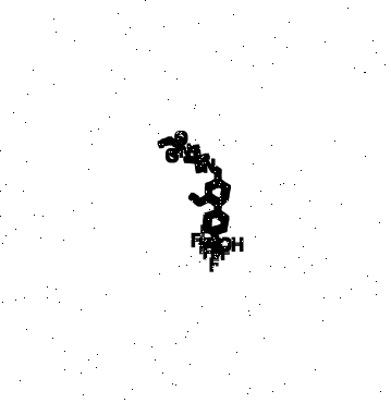 CCc1cc(CN2CC3(C2)CN(S(=O)(=O)CC)C3)ccc1-c1ccc(C(O)(C(F)(F)F)C(F)(F)F)cc1